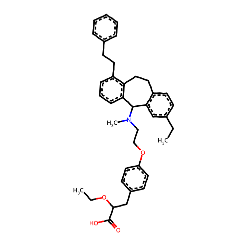 CCOC(Cc1ccc(OCCN(C)C2c3cc(CC)ccc3CCc3c(CCc4ccccc4)cccc32)cc1)C(=O)O